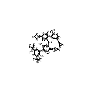 COc1ccc(C2C[C@H]2C=O)cc1-c1c(C)cc(N2CCC2)nc1CN1C(=O)O[C@H](c2cc(C(F)(F)F)cc(C(F)(F)F)c2)[C@@H]1C